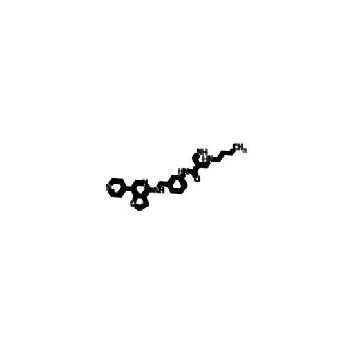 CCCCN/C=C(\C=N)C(=O)Nc1cccc(CNc2ncc(-c3ccncc3)c3c2CCO3)c1